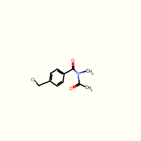 CC(=O)N(C)C(=O)c1ccc(CCl)cc1